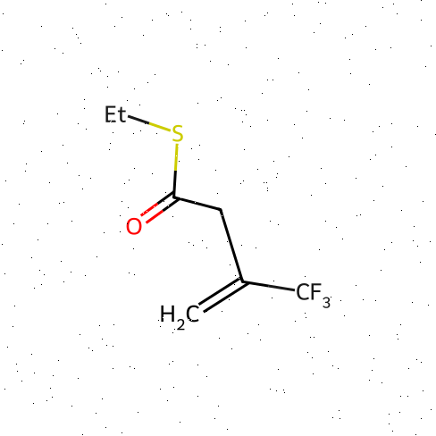 C=C(CC(=O)SCC)C(F)(F)F